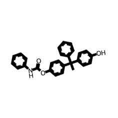 CC(c1ccccc1)(c1ccc(O)cc1)c1ccc(OC(=O)Nc2ccccc2)cc1